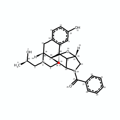 C[C@@H](O)CN1CC[C@@]23c4cc(O)ccc4C[C@@H]1[C@]21CCC2C3[C@@H](CN2C(=O)c2ccccc2)O1